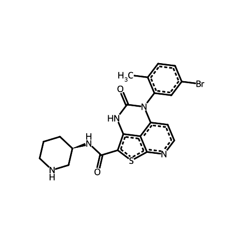 Cc1ccc(Br)cc1N1C(=O)Nc2c(C(=O)N[C@@H]3CCCNC3)sc3nccc1c23